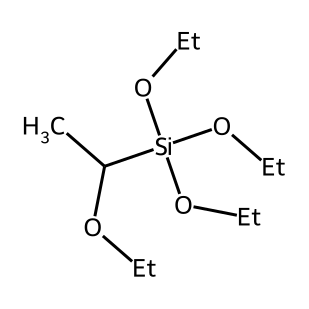 CCOC(C)[Si](OCC)(OCC)OCC